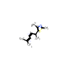 CC/C(=C\C=C/C(C)c1sc(C)nc1C(C)C)C(F)(F)F